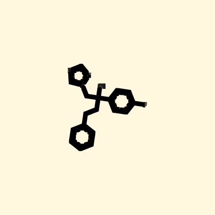 N#CC(CCc1ccccc1)(Cn1cncn1)c1ccc(F)cc1